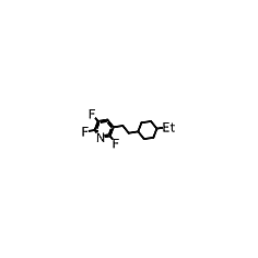 CCC1CCC(CCc2cc(F)c(F)nc2F)CC1